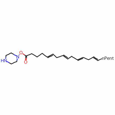 CCCCCC=CCC=CCC=CCC=CCCCC(=O)ON1CCNCC1